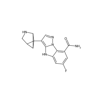 NC(=O)c1cc(F)cc2[nH]c3c(C45C6CNC4C65)cnn3c12